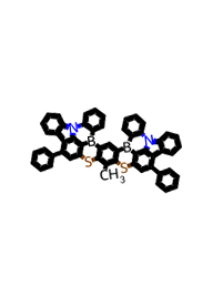 Cc1c2c(cc3c1Sc1cc(-c4ccccc4)c4c5ccccc5n5c4c1B3c1ccccc1-5)B1c3ccccc3-n3c4ccccc4c4c(-c5ccccc5)cc(c1c43)S2